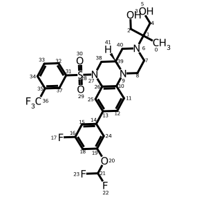 CC(CO)(CO)N1CCN2c3ccc(-c4cc(F)cc(OC(F)F)c4)cc3N(S(=O)(=O)c3cccc(C(F)(F)F)c3)C[C@@H]2C1